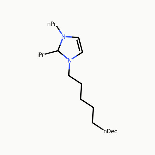 CCCCCCCCCCCCCCCN1C=CN(CCC)C1C(C)C